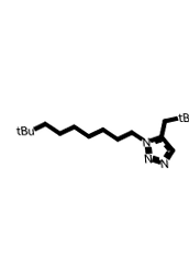 CC(C)(C)CCCCCCCn1nncc1CC(C)(C)C